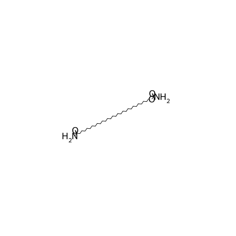 NC(=O)CCCCCCCCCCCCCCCCCCCCCCCCCCCCOC(N)=O